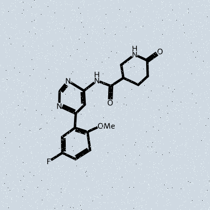 COc1ccc(F)cc1-c1cc(NC(=O)C2CCC(=O)NC2)ncn1